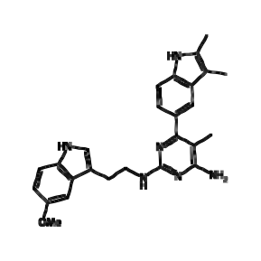 COc1ccc2[nH]cc(CCNc3nc(N)c(C)c(-c4ccc5[nH]c(C)c(C)c5c4)n3)c2c1